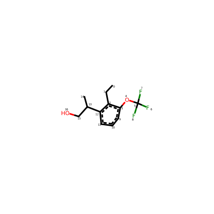 CCc1c(OC(F)(F)F)cccc1[C](C)CO